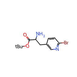 CC(C)(C)OC(=O)C(N)Cc1ccc(Br)nc1